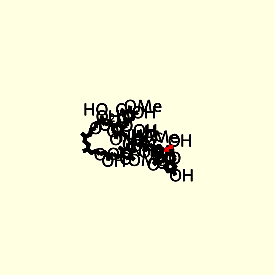 COC1OC(COC(O)COCCC(C)CCC(C)CCOCC(O)OCC2OC(OC)C(NC(C)=O)C(OC3CC(O)C(OC)C(C(=O)Nc4ccc5c(c4)C(=O)OC54c5ccc(O)cc5Oc5cc(O)ccc54)O3)C2C)C(C)C(OC2CC(O)C(OC)C(C(=O)O)O2)C1NC(C)=O